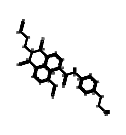 O=Cc1ccc2c3c(ccc(C(=O)Nc4ccc(CCO)cc4)c13)C(=O)N(CCN=O)C2=O